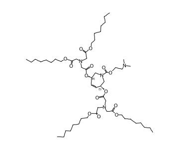 CCCCCCCCOC(=O)CN(CC(=O)OCCCCCCCC)CC(=O)O[C@@H]1C=C[C@H](OC(=O)CN(CC(=O)OCCCCCCCC)CC(=O)OCCCCCCCC)CN(C(=O)OCCN(C)C)C1